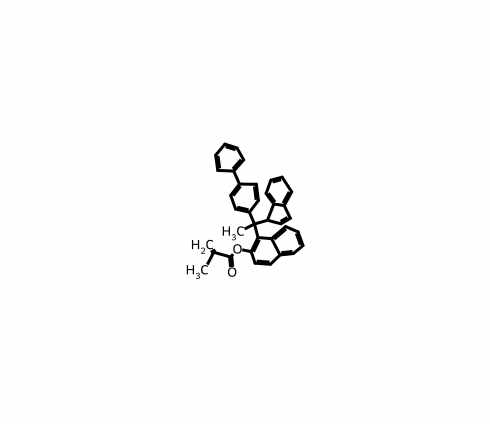 C=C(C)C(=O)Oc1ccc2ccccc2c1C(C)(c1ccc(-c2ccccc2)cc1)C1C=Cc2ccccc21